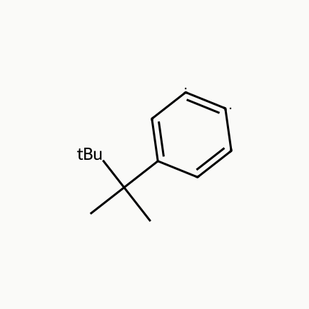 CC(C)(C)C(C)(C)c1c[c][c]cc1